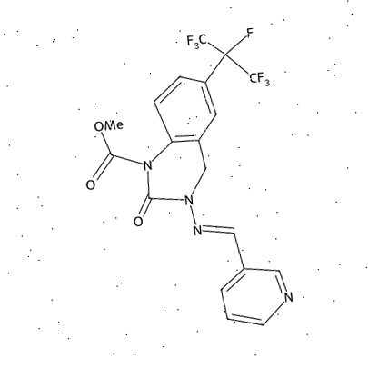 COC(=O)N1C(=O)N(N=Cc2cccnc2)Cc2cc(C(F)(C(F)(F)F)C(F)(F)F)ccc21